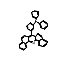 C1=CC(P(c2ccccc2)c2cccc(C3=c4ccc5ccccc5c4=NC4c5ccccc5C=CC34)c2)=CCC1